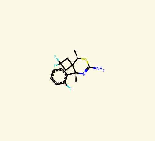 C[C@H]1SC(N)=N[C@](C)(c2ccccc2F)C12CC(F)(F)C2